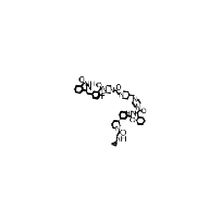 O=C(N[C@@H](C(=O)N1CCN(CC2CCN(CC(=O)N3CCN(C(=O)c4cc(Cc5n[nH]c(=O)c6ccccc56)ccc4F)CC3)CC2)CC1)C1CCCCC1)c1cccc([C@@H]2CCCN(C(=O)CNC3CC3)C2)c1